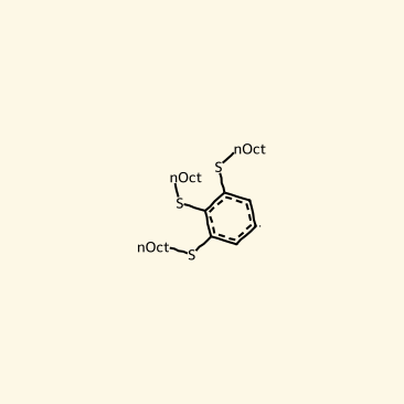 CCCCCCCCSc1c[c]cc(SCCCCCCCC)c1SCCCCCCCC